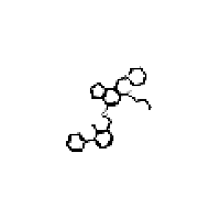 Cc1c(COc2cc(OCCF)c(CN3CCCCC3)c3c2CCC3)cccc1-c1ccccc1